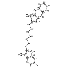 Cc1ccc2c(=O)n(CCCSCCCn3sc4cc5ccccc5cc4c3=O)sc2c1